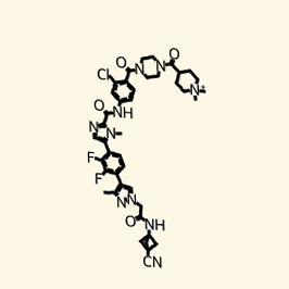 Cc1nn(CC(=O)NC23CC(C#N)(C2)C3)cc1-c1ccc(-c2cnc(C(=O)Nc3ccc(C(=O)N4CCN(C(=O)C5CC[N+](C)(C)CC5)CC4)c(Cl)c3)n2C)c(F)c1F